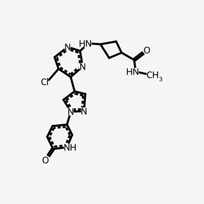 CNC(=O)C1CC(Nc2ncc(Cl)c(-c3cnn(-c4ccc(=O)[nH]c4)c3)n2)C1